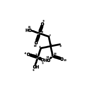 CC(CS(=O)(=O)O)(CS(=O)(=O)O)S(=O)O